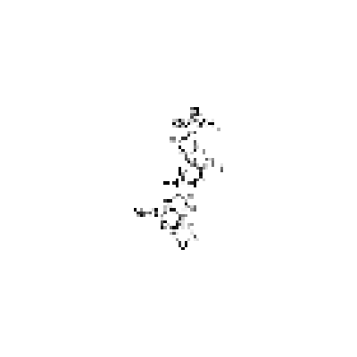 COC(=O)c1cc(Nc2ncc(C)c(-c3ccc(C(=O)N(C)C#N)cc3)n2)ccc1N1CCOCC1